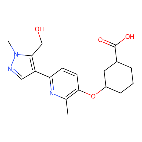 Cc1nc(-c2cnn(C)c2CO)ccc1OC1CCCC(C(=O)O)C1